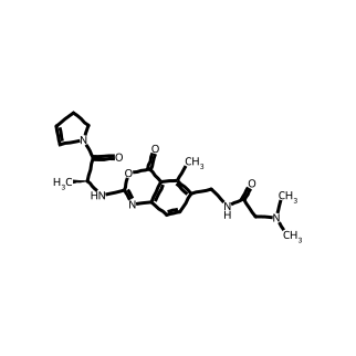 Cc1c(CNC(=O)CN(C)C)ccc2nc(N[C@@H](C)C(=O)N3C=CCC3)oc(=O)c12